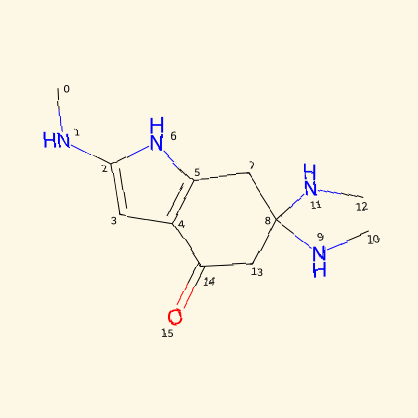 CNc1cc2c([nH]1)CC(NC)(NC)CC2=O